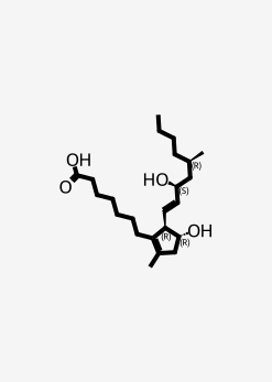 CCCC[C@@H](C)C[C@H](O)C=C[C@@H]1C(CCCCCCC(=O)O)=C(C)C[C@H]1O